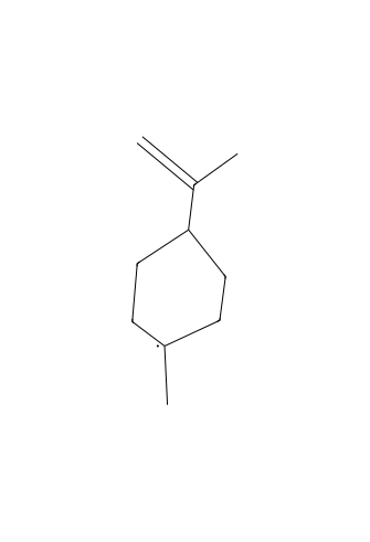 C=C(C)C1CC[C](C)CC1